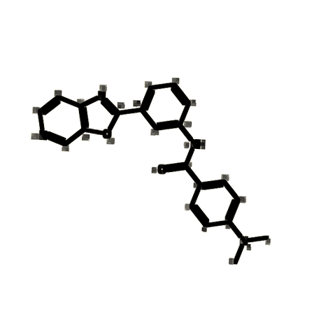 CN(C)c1ccc(C(=O)Nc2cccc(-c3nc4ccncc4o3)c2)cc1